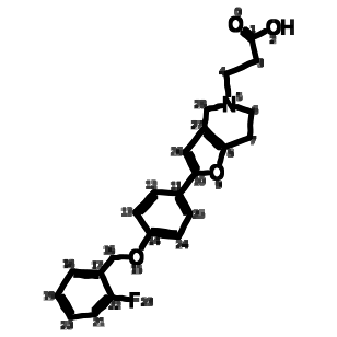 O=C(O)CCN1CCc2oc(-c3ccc(OCc4ccccc4F)cc3)cc2C1